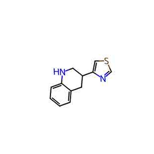 c1ccc2c(c1)CC(c1cscn1)CN2